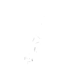 CCCCCC1CCC(c2ccc(C#CCCC(F)(F)F)cc2)CC1